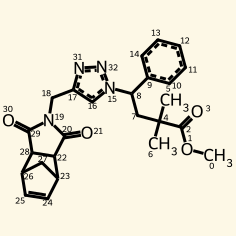 COC(=O)C(C)(C)CC(c1ccccc1)n1cc(CN2C(=O)C3C4C=CC(C4)C3C2=O)nn1